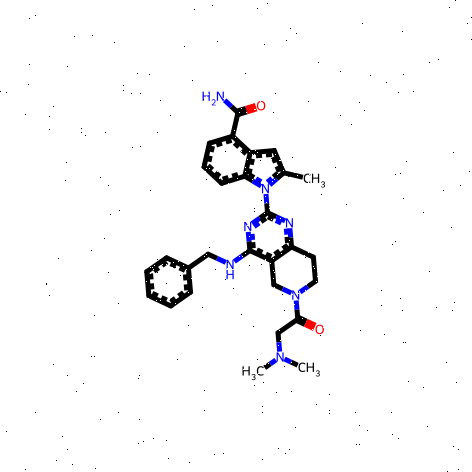 Cc1cc2c(C(N)=O)cccc2n1-c1nc2c(c(NCc3ccccc3)n1)CN(C(=O)CN(C)C)CC2